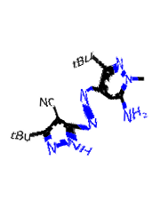 Cn1nc(C(C)(C)C)c(N=Nc2[nH]nc(C(C)(C)C)c2C#N)c1N